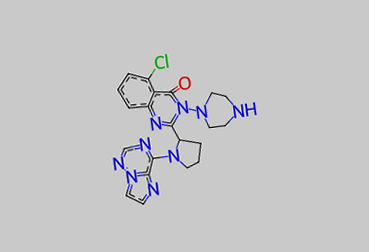 O=c1c2c(Cl)cccc2nc(C2CCCN2c2ncnn3ccnc23)n1N1CCNCC1